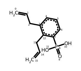 C=CCc1cccc(P(=O)(O)O)c1CC=C